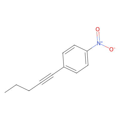 CCCC#Cc1ccc([N+](=O)[O-])cc1